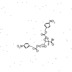 O=C(OCc1ccc([N+](=O)[O-])cc1)OOC[C@@H](O)[C@@H](OOC(=O)OCc1ccc([N+](=O)[O-])cc1)C(F)(F)C(=O)Br